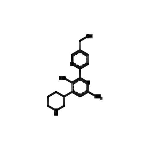 Nc1cc(C2CCCNC2)c(O)c(-c2ccc(CO)cn2)n1